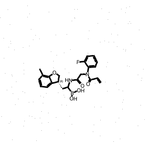 C=CC(=O)N(CC(=O)NC(C[C@H]1COc2c(C)cccc21)B(O)O)c1ccccc1F